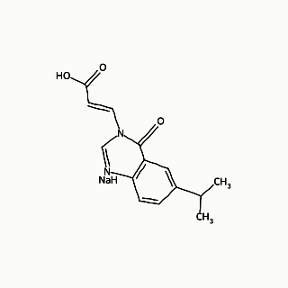 CC(C)c1ccc2ncn(C=CC(=O)O)c(=O)c2c1.[NaH]